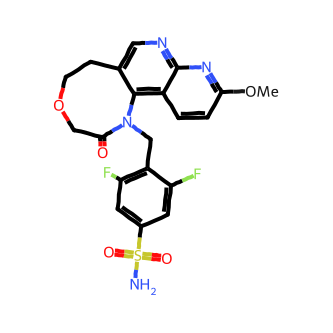 COc1ccc2c3c(cnc2n1)CCOCC(=O)N3Cc1c(F)cc(S(N)(=O)=O)cc1F